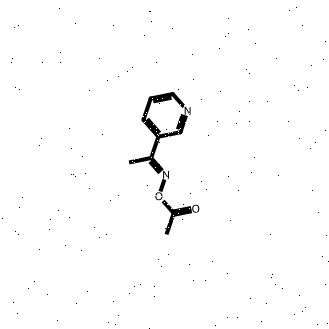 CC(=O)ON=C(C)c1cccnc1